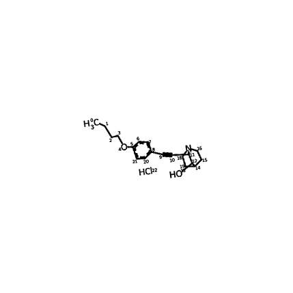 CCCCOc1ccc(C#CC2C(O)C3CCN2CC3)cc1.Cl